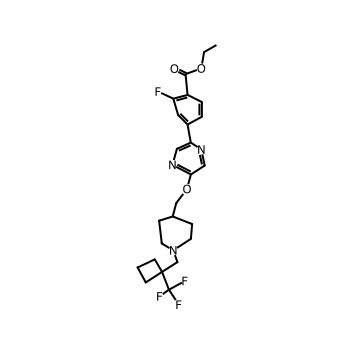 CCOC(=O)c1ccc(-c2cnc(OCC3CCN(CC4(C(F)(F)F)CCC4)CC3)cn2)cc1F